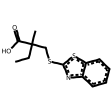 CCC(C)(CSc1nc2ccccc2s1)C(=O)O